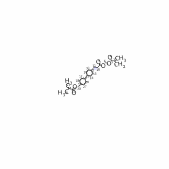 C=C(C)C(=O)OCOC(=O)/C=C/c1ccc(-c2ccc(COC(=O)C(=C)C)cc2)cc1